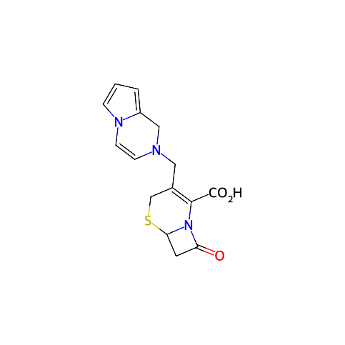 O=C(O)C1=C(CN2C=Cn3cccc3C2)CSC2CC(=O)N12